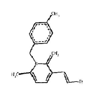 C=C1C(C=CCC)=CC=C(C)N1Cc1ccc(C)cc1